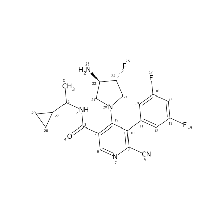 CC(NC(=O)c1cnc(C#N)c(-c2cc(F)cc(F)c2)c1N1C[C@@H](N)[C@H](F)C1)C1CC1